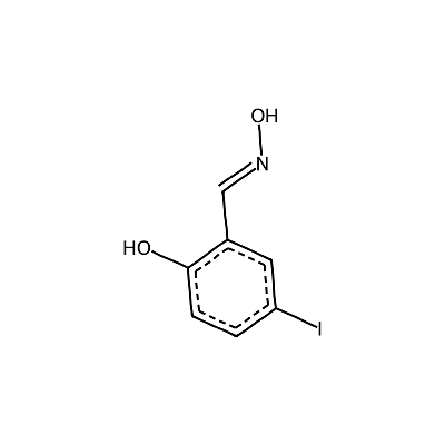 ON=Cc1cc(I)ccc1O